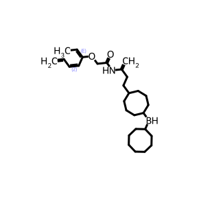 C=C/C=C\C(=C/C)OCC(=O)NC(=C)CCC1CCCC(BC2CCCCCCC2)CCC1